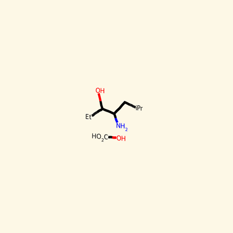 CCC(O)C(N)CC(C)C.O=C(O)O